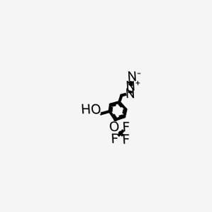 [N-]=[N+]=NCc1ccc(OC(F)(F)F)c(CO)c1